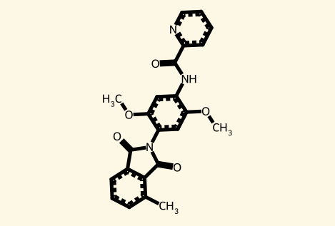 COc1cc(N2C(=O)c3cccc(C)c3C2=O)c(OC)cc1NC(=O)c1ccccn1